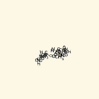 Cc1c(OC2CCC(CC[C@H](C)N3CCN(c4cccc5c(C6CCC(=O)NC6=O)nn(C)c45)CC3)CC2)cccc1-c1ccc(N2CCc3cccc(C(=O)Nc4nc5ccccc5s4)c3C2)nc1C(=O)OC(C)(C)C